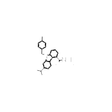 Cc1ccc(Cn2c3cc(C(C)C)c[c]c3c3c(C(N)=O)cccc32)cc1